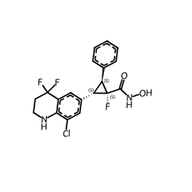 O=C(NO)[C@]1(F)[C@H](c2ccccc2)[C@H]1c1cc(Cl)c2c(c1)C(F)(F)CCN2